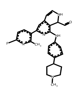 Cc1nc(F)ccc1-c1cc2c(c(Nc3ccc(C4CCN(C)CC4)cc3)n1)C(C=O)NC=C2